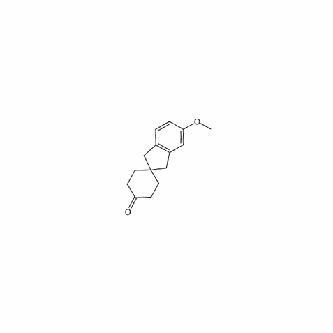 COc1ccc2c(c1)CC1(CCC(=O)CC1)C2